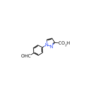 O=Cc1ccc(-n2ccc(C(=O)O)n2)cc1